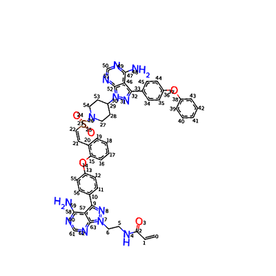 C=CC(=O)NCCn1nc(-c2ccc(Oc3ccccc3/C=C\S(=O)(=O)N3CCC(n4nc(-c5ccc(Oc6ccccc6)cc5)c5c(N)ncnc54)CC3)cc2)c2c(N)ncnc21